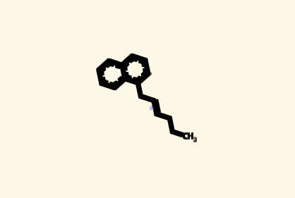 CCC/C=C/Cc1[c]ccc2ccccc12